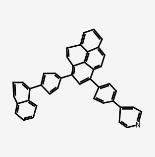 c1ccc2c(-c3ccc(-c4cc(-c5ccc(-c6ccncc6)cc5)c5ccc6cccc7ccc4c5c67)cc3)cccc2c1